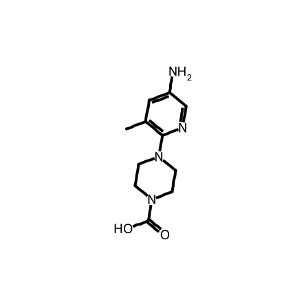 Cc1cc(N)cnc1N1CCN(C(=O)O)CC1